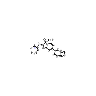 Cl.NC/C(=C\F)Cn1nc2cc(-c3ccc4nonc4c3)ccn2c1=O